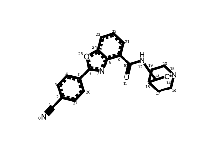 N#Cc1ccc(-c2nc3c(C(=O)NC4CN5CCC4CC5)cccc3o2)cc1